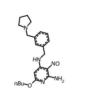 CCCCOc1cc(NCc2cccc(CN3CCCC3)c2)c(N=O)c(N)n1